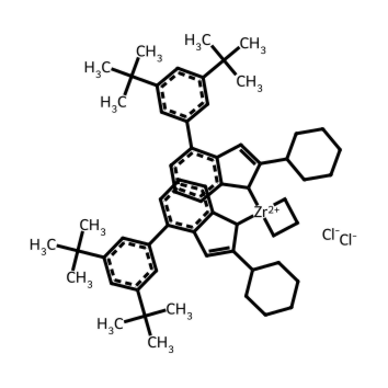 CC(C)(C)c1cc(-c2cccc3c2C=C(C2CCCCC2)[CH]3[Zr+2]2([CH]3C(C4CCCCC4)=Cc4c(-c5cc(C(C)(C)C)cc(C(C)(C)C)c5)cccc43)[CH2]C[CH2]2)cc(C(C)(C)C)c1.[Cl-].[Cl-]